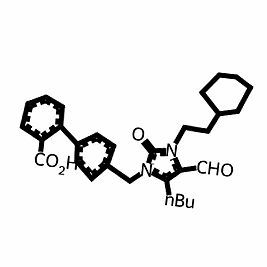 CCCCc1c(C=O)n(CCC2CCCCC2)c(=O)n1Cc1ccc(-c2ccccc2C(=O)O)cc1